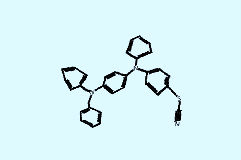 N#CSc1ccc(N(c2ccccc2)c2ccc(N(c3ccccc3)c3ccccc3)cc2)cc1